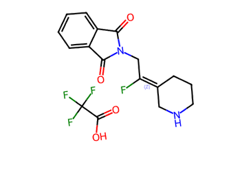 O=C(O)C(F)(F)F.O=C1c2ccccc2C(=O)N1C/C(F)=C1\CCCNC1